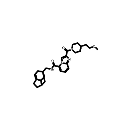 COCCC1CCN(C(=O)c2cn3c(C(=O)NCC45CC=C6CCC(C4)C6C5)cccc3n2)CC1